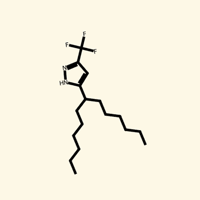 CCCCCCC(CCCCCC)c1cc(C(F)(F)F)n[nH]1